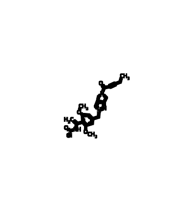 C=C(N[SH](=O)=O)c1c(OC)cc(Cn2cc3c(n2)CN(C(=O)C#CCC)C3)cc1OC